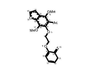 COc1c(C(C)=O)c(OCCOC2=CC=CCC2=S)c(OC)c2occc12